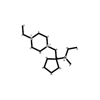 CCN1CCN(CC2(N(C)CC)CCCC2)CC1